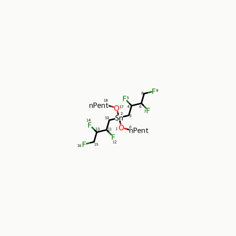 CCCCC[O][Sn]([CH2]C(F)C(F)CF)([CH2]C(F)C(F)CF)[O]CCCCC